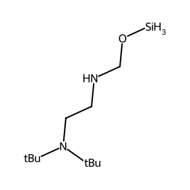 CC(C)(C)N(CCNCO[SiH3])C(C)(C)C